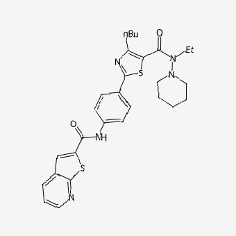 CCCCc1nc(-c2ccc(NC(=O)c3cc4cccnc4s3)cc2)sc1C(=O)N(CC)N1CCCCC1